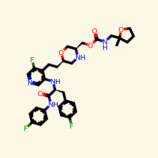 CC1(CNC(=O)OC[C@@H]2CO[C@H](CCc3c(F)cncc3N[C@@H](Cc3ccc(F)cc3)C(=O)Nc3ccc(F)cc3)CN2)CCCO1